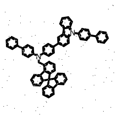 c1ccc(-c2ccc(N(Cc3cccc4c3-c3ccccc3C43c4ccccc4-c4ccccc43)c3ccc(-c4ccc5c(c4)c4ccccc4n5-c4ccc(-c5ccccc5)cc4)cc3)cc2)cc1